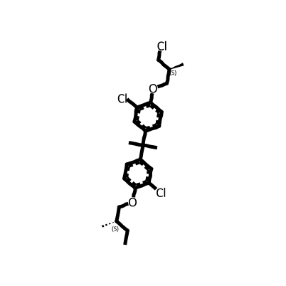 CC[C@H](C)COc1ccc(C(C)(C)c2ccc(OC[C@H](C)CCl)c(Cl)c2)cc1Cl